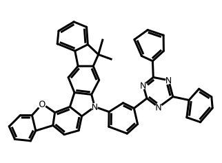 CC1(C)c2ccccc2-c2cc3c4c5oc6ccccc6c5ccc4n(-c4cccc(-c5nc(-c6ccccc6)nc(-c6ccccc6)n5)c4)c3cc21